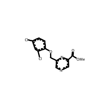 COC(=O)c1cncc(COc2ccc(Cl)cc2Cl)n1